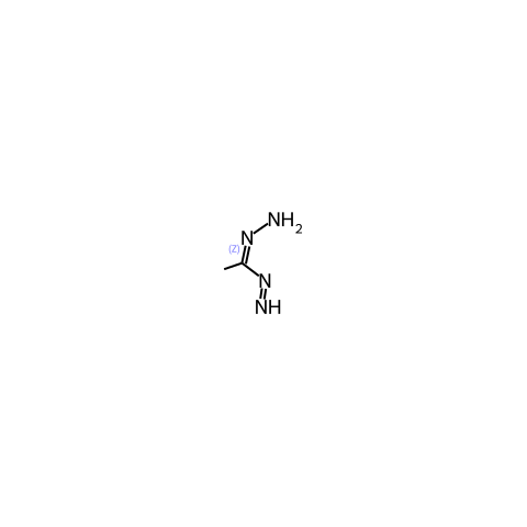 C/C(N=N)=N/N